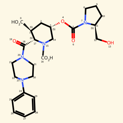 O=C(O)[C@H]1C[C@H](OC(=O)N2CCC[C@H]2CO)CN(C(=O)O)[C@@H]1C(=O)N1CCN(c2ccccc2)CC1